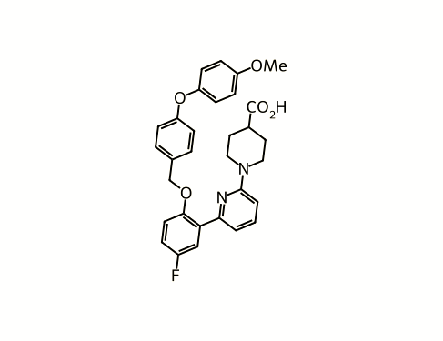 COc1ccc(Oc2ccc(COc3ccc(F)cc3-c3cccc(N4CCC(C(=O)O)CC4)n3)cc2)cc1